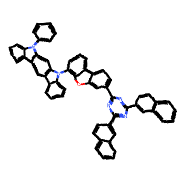 c1ccc(-n2c3ccccc3c3cc4c5ccccc5n(-c5cccc6c5oc5cc(-c7nc(-c8ccc9ccccc9c8)nc(-c8ccc9ccccc9c8)n7)ccc56)c4cc32)cc1